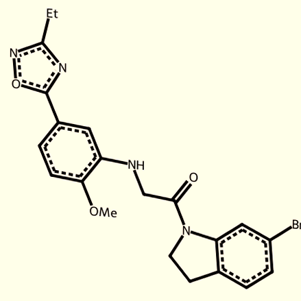 CCc1noc(-c2ccc(OC)c(NCC(=O)N3CCc4ccc(Br)cc43)c2)n1